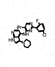 CC(C)c1cnc(-c2cc(Cl)ccc2F)nc1Nc1ccnc2[nH]cc(N3CCCCC3)c12